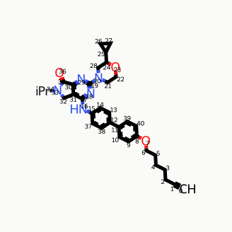 C#CCCCCCOc1ccc(-c2ccc(Nc3nc(N4CCOC(C5CC5)C4)nc4c3CN(C(C)C)C4=O)cc2)cc1